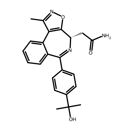 Cc1noc2c1-c1ccccc1C(c1ccc(C(C)(C)O)cc1)=N[C@H]2CC(N)=O